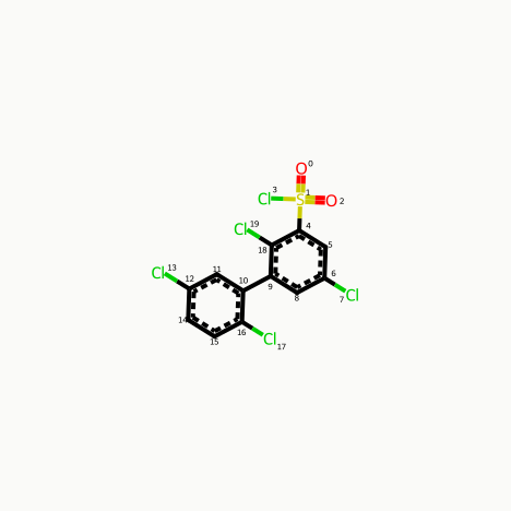 O=S(=O)(Cl)c1cc(Cl)cc(-c2cc(Cl)ccc2Cl)c1Cl